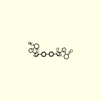 O=C=C1CCC[CH]C1N1CCCC1c1ncc(-c2ccc(-c3ccc(-c4cnc(C5CCCN5[C@@H]5[CH]CCCC5=C=O)[nH]4)cc3)cc2)[nH]1